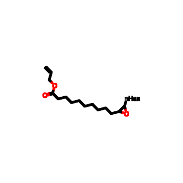 C=CCOC(=O)CCCCCCCCCC1OC1CCCCCC